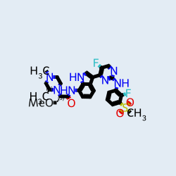 COC[C@@H](C(=O)Nc1cccc2c(-c3nc(Nc4cccc(S(C)(=O)=O)c4F)ncc3F)c[nH]c12)N1CCN(C)C[C@H]1C